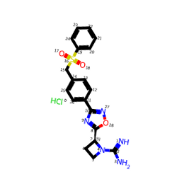 Cl.N=C(N)N1CC[C@H]1c1nc(-c2ccc(CS(=O)(=O)c3ccccc3)cc2)no1